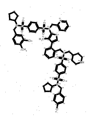 Cc1ccc(CN(C2CCCC2)S(=O)(=O)c2ccc(S(=O)(=O)N(Cc3ccccn3)c3scc(-c4ccccc4CN(CC4CCNCC4)S(=O)(=O)c4ccc(S(=O)(=O)N(Cc5ccc(Cl)cc5)C5CCCC5)cc4)c3C)cc2)cc1Cl